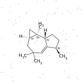 C[C@@H]1CC[C@@H]2C1=CC(C)(C)C[C@H]1C[C@]12C